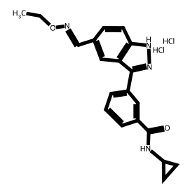 CCON=Cc1ccc2[nH]nc(-c3cccc(C(=O)NC4CC4)c3)c2c1.Cl.Cl